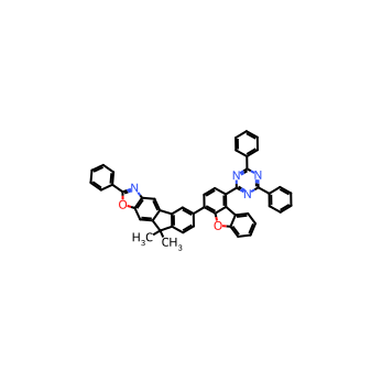 CC1(C)c2ccc(-c3ccc(-c4nc(-c5ccccc5)nc(-c5ccccc5)n4)c4c3oc3ccccc34)cc2-c2cc3nc(-c4ccccc4)oc3cc21